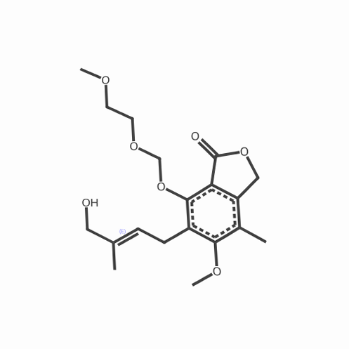 COCCOCOc1c(C/C=C(\C)CO)c(OC)c(C)c2c1C(=O)OC2